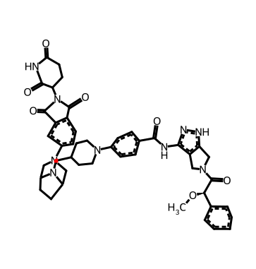 CO[C@@H](C(=O)N1Cc2[nH]nc(NC(=O)c3ccc(N4CCC(CN5C6CCC5CN(c5ccc7c(c5)C(=O)N(C5CCC(=O)NC5=O)C7=O)C6)CC4)cc3)c2C1)c1ccccc1